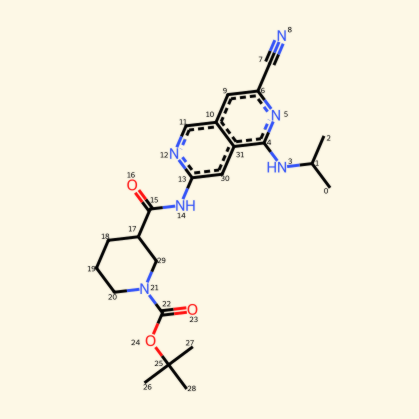 CC(C)Nc1nc(C#N)cc2cnc(NC(=O)C3CCCN(C(=O)OC(C)(C)C)C3)cc12